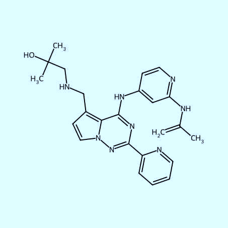 C=C(C)Nc1cc(Nc2nc(-c3ccccn3)nn3ccc(CNCC(C)(C)O)c23)ccn1